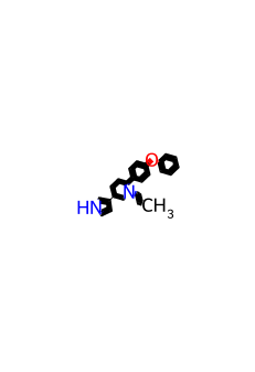 CC=CN1C[C@H](c2cc[nH]c2)CCC1c1ccc(Oc2ccccc2)cc1